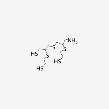 NCC(CSCC(CS)SCCS)SCCS